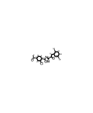 CC(=O)c1ccc(-c2nc(-c3cc4c(C)ccc(C)c4o3)no2)c(Cl)c1